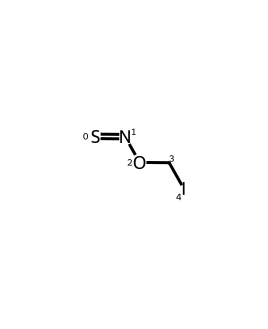 S=NOCI